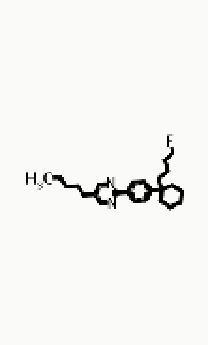 CCCCCc1cnc(-c2ccc(C3(CCCCF)CCCCC3)cc2)nc1